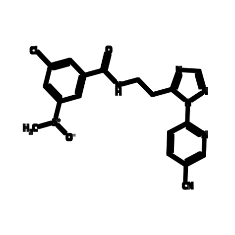 C[S+]([O-])c1cc(Cl)cc(C(=O)NCCc2ncnn2-c2ccc(C#N)cn2)c1